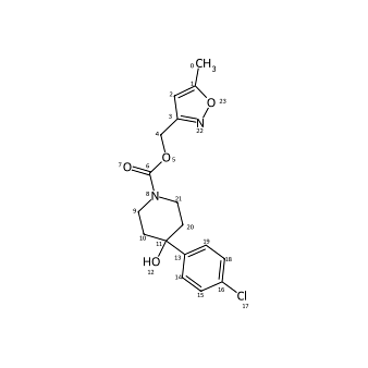 Cc1cc(COC(=O)N2CCC(O)(c3ccc(Cl)cc3)CC2)no1